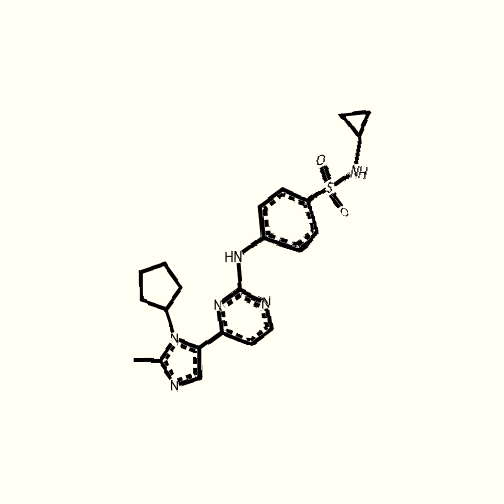 Cc1ncc(-c2ccnc(Nc3ccc(S(=O)(=O)NC4CC4)cc3)n2)n1C1CCCC1